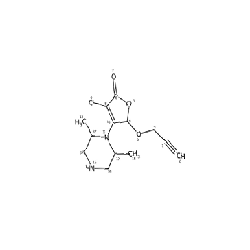 C#CCOC1OC(=O)C(Cl)=C1N1C(C)CNCC1C